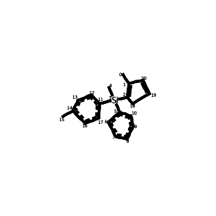 CC1=C([Si](C)(c2ccccc2)c2ccc(C)cc2)CC=C1